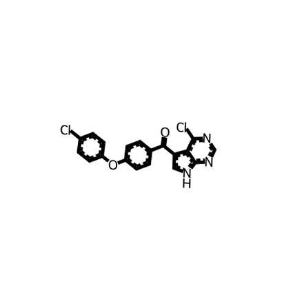 O=C(c1ccc(Oc2ccc(Cl)cc2)cc1)c1c[nH]c2ncnc(Cl)c12